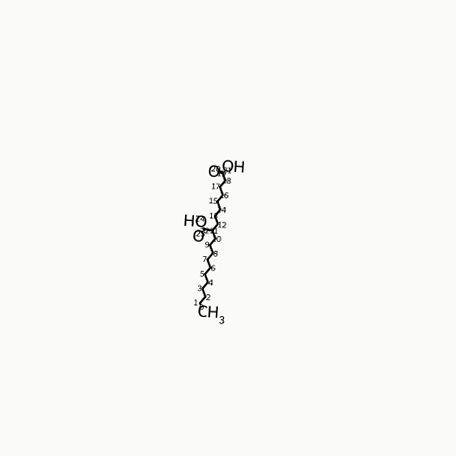 CCCCCCCCCCCC(CCCCCCCC(=O)O)C(=O)O